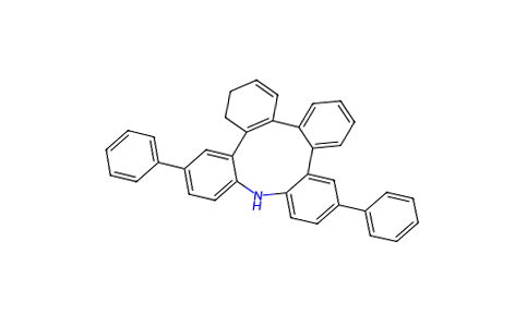 C1=Cc2c(c3cc(-c4ccccc4)ccc3[nH]c3ccc(-c4ccccc4)cc3c3ccccc23)CC1